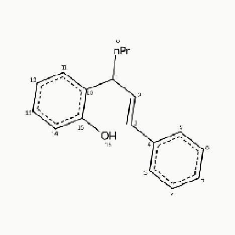 CCCC(/C=C/c1ccccc1)c1ccccc1O